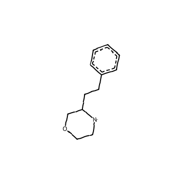 c1ccc(CCC2COCC[N]2)cc1